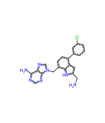 NCc1cc2c(-c3cccc(Cl)c3)ccc(Cn3cnc4c(N)ncnc43)c2[nH]1